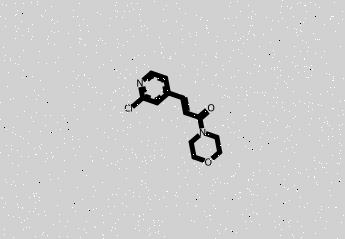 O=C(C=Cc1ccnc(Cl)c1)N1CCOCC1